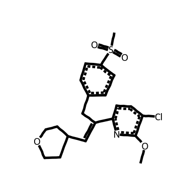 COc1nc(C(=CC2CCOCC2)Cc2ccc(S(C)(=O)=O)cc2)ccc1Cl